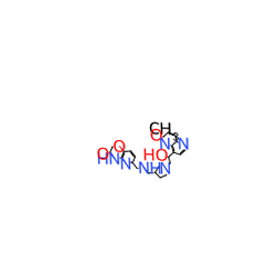 COc1ccc2nccc([C@H](O)CN3CC[C@@H](CNCc4ccc5c(n4)NC(=O)CO5)C3)c2n1